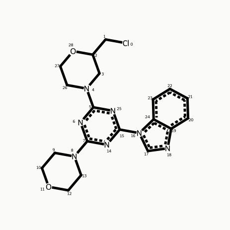 ClCC1CN(c2nc(N3CCOCC3)nc(-n3cnc4ccccc43)n2)CCO1